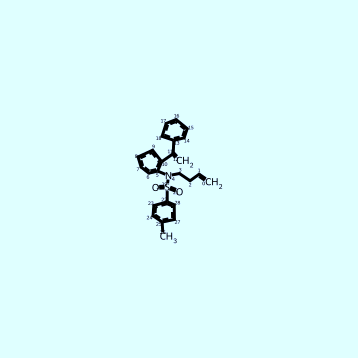 C=CCCN(c1ccccc1C(=C)c1ccccc1)S(=O)(=O)c1ccc(C)cc1